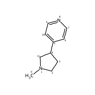 CN1CCC(c2ccncc2)C1